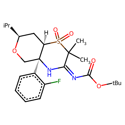 CC(C)[C@H]1C[C@@H]2[C@](c3ccccc3F)(CO1)N/C(=N/C(=O)OC(C)(C)C)C(C)(C)S2(=O)=O